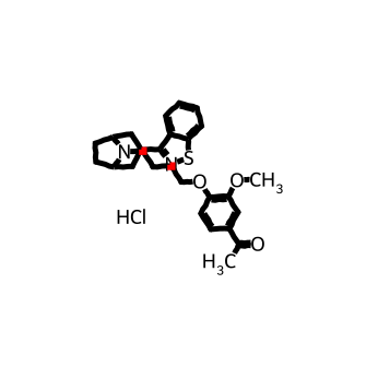 COc1cc(C(C)=O)ccc1OCCCCN1C2CCC1CC(c1nsc3ccccc13)C2.Cl